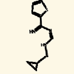 N=C(/N=C\NSC1CC1)c1cccs1